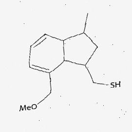 COCC1=CC=CC2C(C)CC(CS)C12